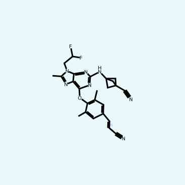 Cc1cc(/C=C/C#N)cc(C)c1Oc1nc(NC23CC(C#N)(C2)C3)nc2c1nc(C)n2CC(F)F